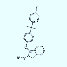 CNC1Cc2ccccc2[C@@H]1Oc1ccc(C(C)(C)c2ccc(F)cc2)cc1